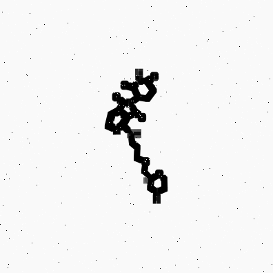 O=C1CCC(N2C(=O)c3ccnc(NCCCOC[C@@H]4CNCCO4)c3C2=O)C(=O)N1